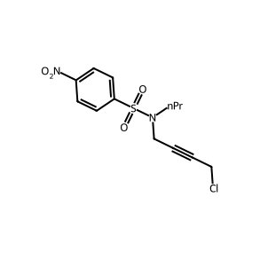 CCCN(CC#CCCl)S(=O)(=O)c1ccc([N+](=O)[O-])cc1